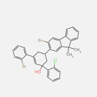 CC1(C)c2ccccc2-c2cc(Br)c(C3CC(c4ccccc4Br)=CC(O)(c4ccccc4Cl)C3)cc21